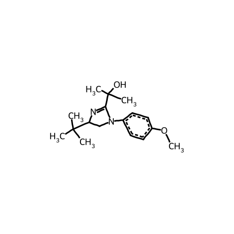 COc1ccc(N2CC(C(C)(C)C)N=C2C(C)(C)O)cc1